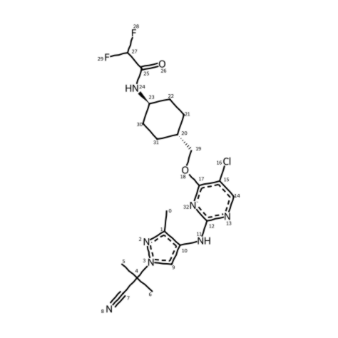 Cc1nn(C(C)(C)C#N)cc1Nc1ncc(Cl)c(OC[C@H]2CC[C@H](NC(=O)C(F)F)CC2)n1